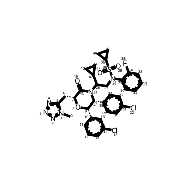 Cn1nnnc1C[C@H]1O[C@@H](c2cccc(Cl)c2)[C@@H](c2ccc(Cl)cc2)N(C(CN(c2ccccc2F)S(=O)(=O)C2CC2)C2CC2)C1=O